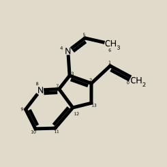 C=CC1=C(/N=C\C)c2ncccc2C1